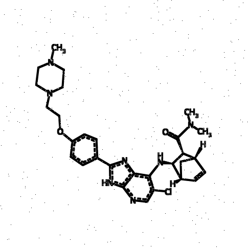 CN1CCN(CCOc2ccc(-c3nc4c(N[C@H]5[C@@H](C(=O)N(C)C)[C@@H]6C=C[C@H]5C6)c(Cl)cnc4[nH]3)cc2)CC1